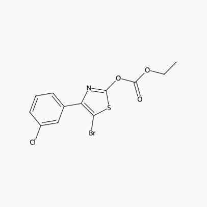 CCOC(=O)Oc1nc(-c2cccc(Cl)c2)c(Br)s1